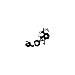 NC(=O)c1cccc2[nH]n(C3CCN(Cc4ccoc4)CC3)c(=O)c12